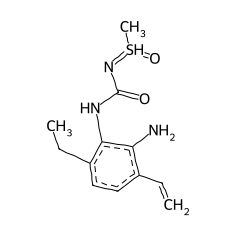 C=Cc1ccc(CC)c(NC(=O)/N=[SH](/C)=O)c1N